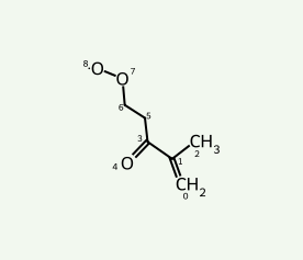 C=C(C)C(=O)CCO[O]